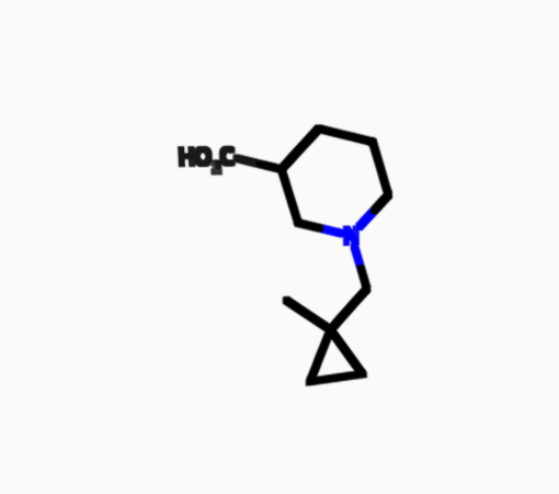 CC1(CN2CCCC(C(=O)O)C2)CC1